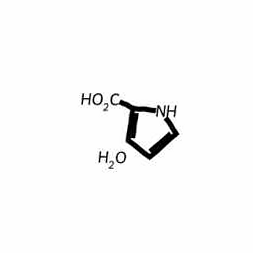 O.O=C(O)c1ccc[nH]1